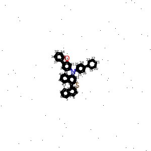 c1ccc2c(c1)ccc1sc3cc(N(c4ccc(C5CCCCC5)cc4)c4ccc5c(c4)oc4ccccc45)c4ccccc4c3c12